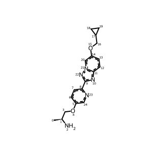 C[C@H](N)COc1ccc(-c2nc3ccc(OCC4CC4)cn3n2)nc1